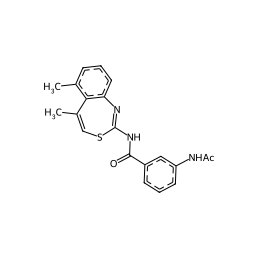 CC(=O)Nc1cccc(C(=O)NC2=Nc3cccc(C)c3C(C)=CS2)c1